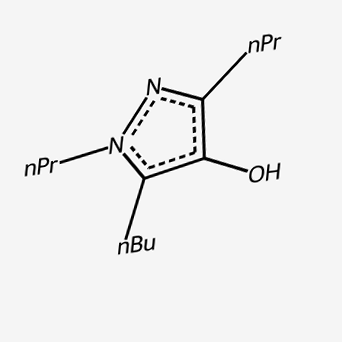 CCCCc1c(O)c(CCC)nn1CCC